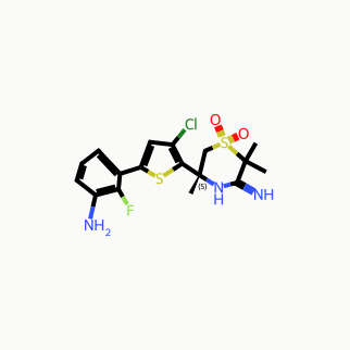 CC1(C)C(=N)N[C@](C)(c2sc(-c3cccc(N)c3F)cc2Cl)CS1(=O)=O